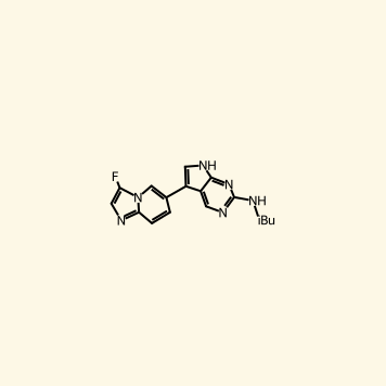 CCC(C)Nc1ncc2c(-c3ccc4ncc(F)n4c3)c[nH]c2n1